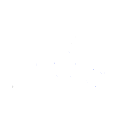 CC(C)c1ccnc(-c2nc3nc(/C(=N/N)NN)nc(N[C@H](C)C4CCC4)c3n2Cc2ccc(C(F)(F)F)cc2)c1